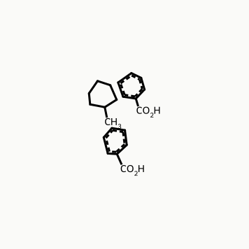 CC1CCCCC1.O=C(O)c1ccccc1.O=C(O)c1ccccc1